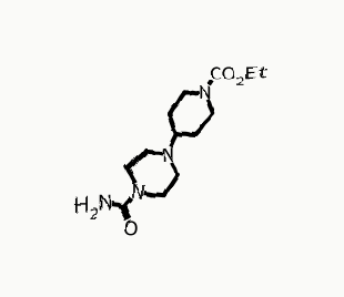 CCOC(=O)N1CCC(N2CCN(C(N)=O)CC2)CC1